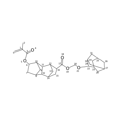 C=C(C)C(=O)OC1CC2CC1C1C3CC(CC3C(=O)OCOC3C4CC5CC(C4)CC3C5)C21